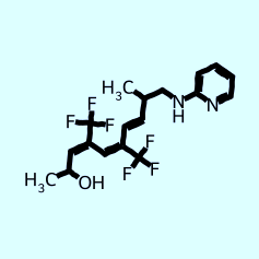 CC(O)\C=C(/C=C(\C=C\C(C)CNc1ccccn1)C(F)(F)F)C(F)(F)F